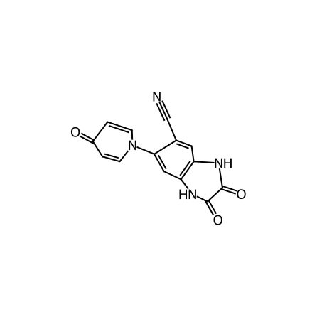 N#Cc1cc2[nH]c(=O)c(=O)[nH]c2cc1-n1ccc(=O)cc1